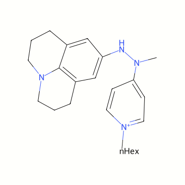 CCCCCC[n+]1ccc(N(C)Nc2cc3c4c(c2)CCCN4CCC3)cc1